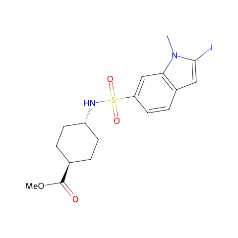 COC(=O)[C@H]1CC[C@H](NS(=O)(=O)c2ccc3cc(I)n(C)c3c2)CC1